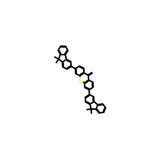 C=C1c2ccc(-c3ccc4c(c3)-c3ccccc3C4(C)C)cc2Sc2cc(-c3ccc4c(c3)-c3ccccc3C4(C)C)ccc21